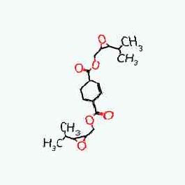 CC(C)C1OC1COC(=O)C1C=CC(C(=O)OCC2OC2C(C)C)CC1